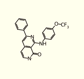 O=C1[N]C=Cc2cc(-c3ccccc3)nc(Nc3ccc(OC(F)(F)F)cc3)c21